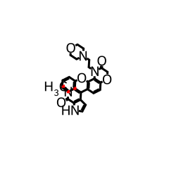 Cn1cc(-c2ccc3c(c2Oc2ccccc2)N(CCN2CCOCC2)C(=O)CO3)c2cc[nH]c2c1=O